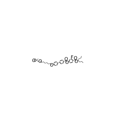 CCCC(CCC)OC(=O)c1ccc(OC(=O)c2ccc(-c3ccc(OCCCCCCOCC4(C)COC4)cc3)cc2)cc1F